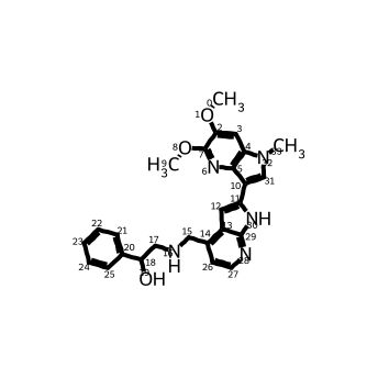 COc1cc2c(nc1OC)c(-c1cc3c(CNCC(O)c4ccccc4)ccnc3[nH]1)cn2C